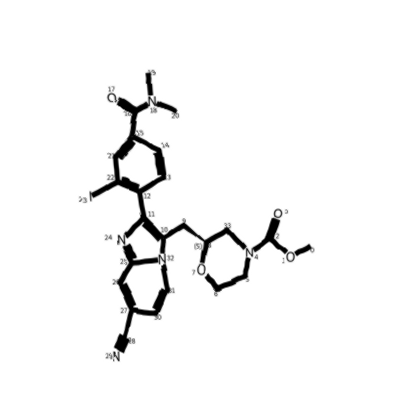 COC(=O)N1CCO[C@@H](Cc2c(-c3ccc(C(=O)N(C)C)cc3I)nc3cc(C#N)ccn23)C1